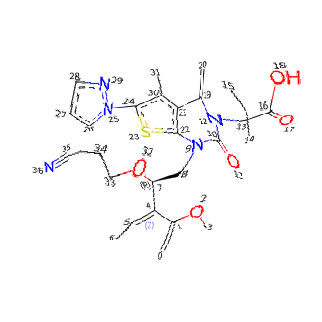 C=C(OC)/C(=C\C)[C@H](CN1C(=O)N(C(C)(C)C(=O)O)C(=C)c2c1sc(-n1cccn1)c2C)OCCC#N